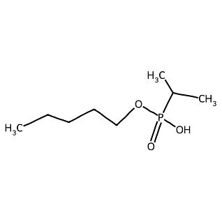 CCCCCOP(=O)(O)C(C)C